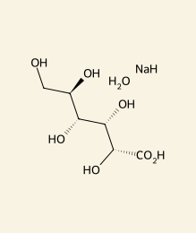 O.O=C(O)[C@H](O)[C@@H](O)[C@H](O)[C@H](O)CO.[NaH]